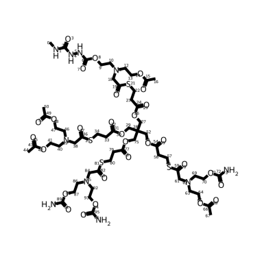 CNC(=O)NNC(=O)OCCN(CCOC(C)=O)CC(=O)SCCC(=O)OCC(COC(=O)CCSC(=O)CN(CCOC(C)=O)CCOC(C)=O)(COC(=O)CCSC(=O)CN(CCOC(C)=O)CCOC(N)=O)COC(=O)CCSC(=O)CN(CCOC(N)=O)CCOC(N)=O